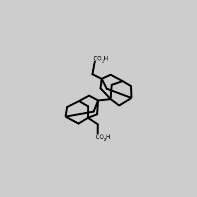 O=C(O)CC12CC3CC(C1)CC(C14CC5CC(CC(CC(=O)O)(C5)C1)C4)(C3)C2